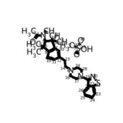 CC(=O)N(C)C1C(C)(C)c2ccc(CCN3CCN(c4nsc5ccccc45)CC3)cc2C1(C)C.CS(=O)(=O)O